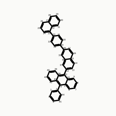 c1ccc(-c2c3ccccc3c(-c3ccc4ccc(-c5ccc(-c6cccc7ccccc67)cc5)cc4c3)c3ccccc23)cc1